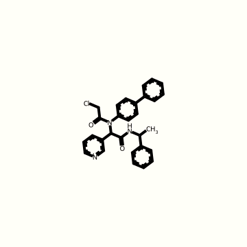 CC(NC(=O)C(c1cccnc1)N(C(=O)CCl)c1ccc(-c2ccccc2)cc1)c1ccccc1